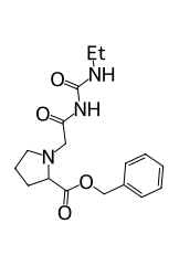 CCNC(=O)NC(=O)CN1CCCC1C(=O)OCc1ccccc1